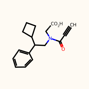 C#CC(=O)N(CC(=O)O)CC(c1ccccc1)C1CCC1